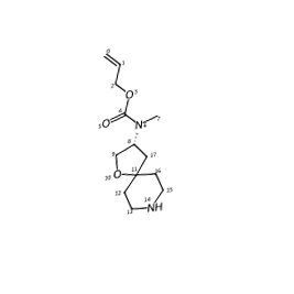 C=CCOC(=O)N(C)[C@H]1COC2(CCNCC2)C1